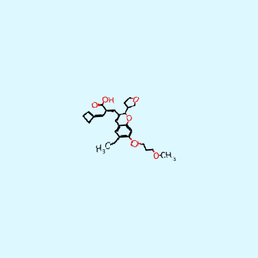 CCc1cc2c(cc1OCCCOC)OC(C1CCOC1)C(/C=C(\C=C1CCC1)C(=O)O)=C2